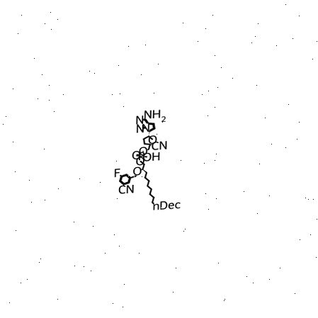 CCCCCCCCCCCCCCCCCC[C@H](COP(=O)(O)OC[C@]1(C#N)CC[C@H](c2ccc3c(N)ncnn23)O1)OCc1cc(F)cc(C#N)c1